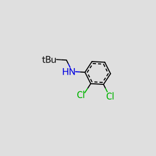 CC(C)(C)CNc1cccc(Cl)c1Cl